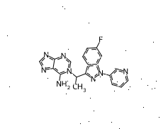 CC(c1nn(-c2cccnc2)c2cc(F)ccc12)n1cnc2ncnc-2c1N